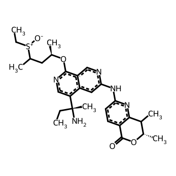 CC[S+]([O-])C(C)C[C@@H](C)Oc1ncc([C@](C)(N)CC)c2cc(Nc3ccc4c(n3)C(C)[C@H](C)OC4=O)ncc12